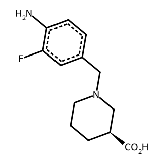 Nc1ccc(CN2CCC[C@H](C(=O)O)C2)cc1F